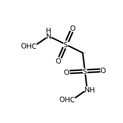 O=CNS(=O)(=O)[CH]S(=O)(=O)NC=O